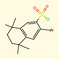 CC(C)c1cc2c(cc1S(=O)(=O)Cl)C(C)(C)CCC2(C)C